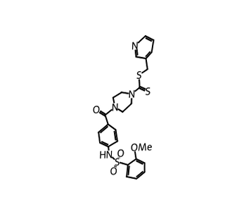 COc1ccccc1S(=O)(=O)Nc1ccc(C(=O)N2CCN(C(=S)SCc3cccnc3)CC2)cc1